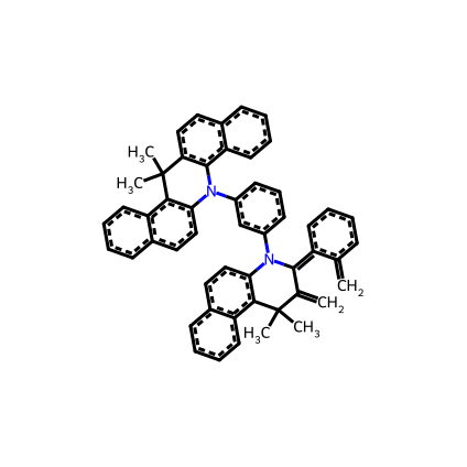 C=C1/C(=c2/ccccc2=C)N(c2cccc(N3c4ccc5ccccc5c4C(C)(C)c4ccc5ccccc5c43)c2)c2ccc3ccccc3c2C1(C)C